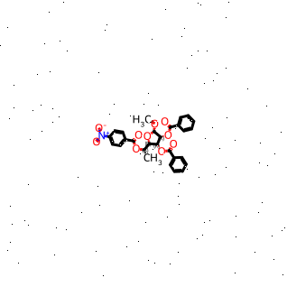 COC1O[C@H]([C@H](C)OC(=O)c2ccc([N+](=O)[O-])cc2)[C@@H](OC(=O)c2ccccc2)[C@H]1OC(=O)c1ccccc1